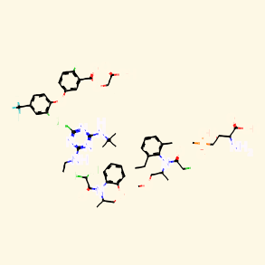 CC1COc2ccccc2N1C(=O)C(Cl)Cl.CCNc1nc(Cl)nc(NC(C)(C)C)n1.CCc1cccc(C)c1N(C(=O)CCl)C(C)COC.CP(=O)(O)CCC(N)C(=O)O.C[C@H](OC(=O)c1cc(Oc2ccc(C(F)(F)F)cc2Cl)ccc1Cl)C(=O)O